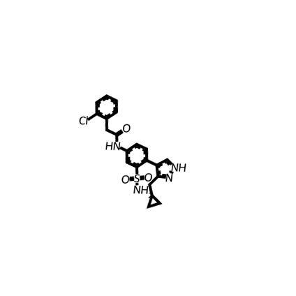 NS(=O)(=O)c1cc(NC(=O)Cc2ccccc2Cl)ccc1-c1c[nH]nc1CC1CC1